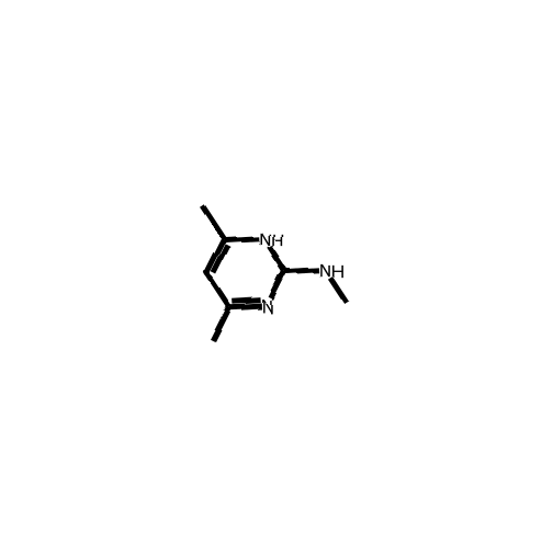 CNC1N=C(C)C=C(C)N1